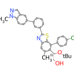 Cc1cc2nc(-c3cccc(-c4ccc5c(cnn5C)c4)c3)sc2c(-c2ccc(Cl)cc2)c1[C@@H](CO)OC(C)(C)C